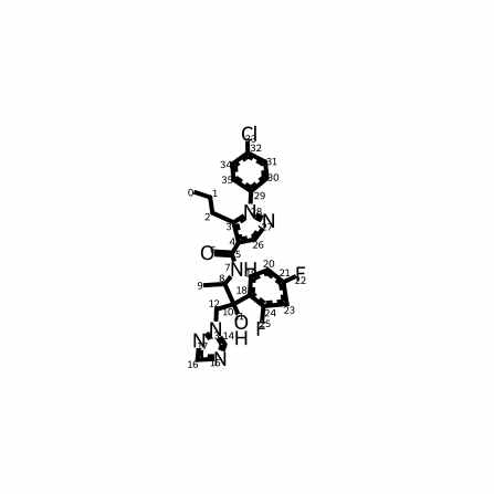 CCCc1c(C(=O)NC(C)C(O)(Cn2cncn2)c2ccc(F)cc2F)cnn1-c1ccc(Cl)cc1